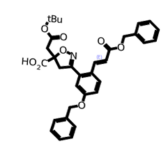 CC(C)(C)OC(=O)CC1(C(=O)O)CC(c2cc(OCc3ccccc3)ccc2/C=C/C(=O)OCc2ccccc2)=NO1